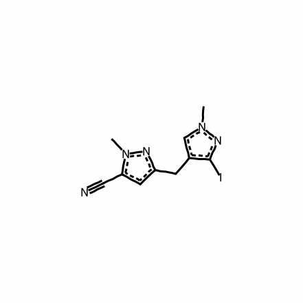 Cn1cc(Cc2cc(C#N)n(C)n2)c(I)n1